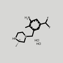 Cc1c(N)cc(C(F)F)cc1CN1CCN[C@@H](C)C1.Cl.Cl